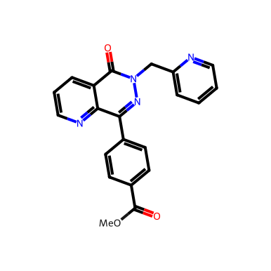 COC(=O)c1ccc(-c2nn(Cc3ccccn3)c(=O)c3cccnc23)cc1